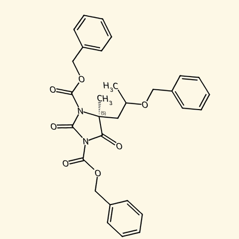 CC(C[C@@]1(C)C(=O)N(C(=O)OCc2ccccc2)C(=O)N1C(=O)OCc1ccccc1)OCc1ccccc1